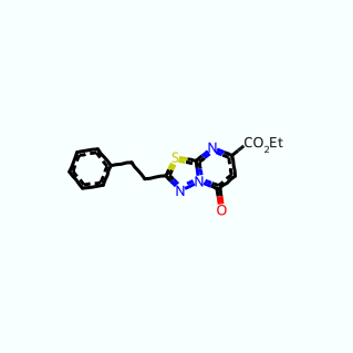 CCOC(=O)c1cc(=O)n2nc(CCc3ccccc3)sc2n1